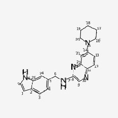 c1cc2ccc(CNc3cnc4ccc(N5CCCCC5)cc4n3)cc2[nH]1